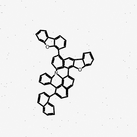 c1ccc(-c2cccc3ccccc23)c(-c2ccccc2N(c2ccc(-c3cccc4c3oc3ccccc34)cc2)c2ccccc2-c2cccc3c2oc2ccccc23)c1